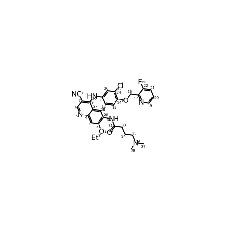 CCOc1cc2ncc(C#N)c(Nc3ccc(OCc4ncccc4F)c(Cl)c3)c2cc1NC(=O)CCCN(C)C